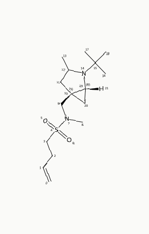 C=CCCS(=O)(=O)N(C)C[C@@]12CC(C)N(C(C)(C)C)[C@@H]1C2